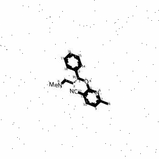 CNCC[C@@H](Oc1nc(C)ccc1C#N)c1ccccc1